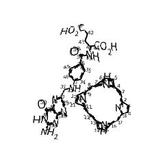 C1=Cc2cc3ccc(cc4nc(cc5ccc(cc1n2)[nH]5)C=C4)[nH]3.Nc1nc2ncc(CNc3ccc(C(=O)NC(CCC(=O)O)C(=O)O)cc3)nc2c(=O)[nH]1